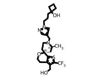 C[C@H]1C[C@@]2(CCN1Cc1cnn(CCCC3(O)CCC3)c1)OCCc1c2sc(C(F)(F)F)c1CO